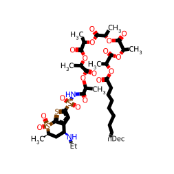 CCCCCCCCCCCCCCCCCC(=O)OC(C)C(=O)OC(C)C(=O)OC(C)C(=O)OC(C)C(=O)OC(C)C(=O)OC(C)C(=O)NS(=O)(=O)c1cc2c(s1)S(=O)(=O)[C@@H](C)C[C@@H]2NCC